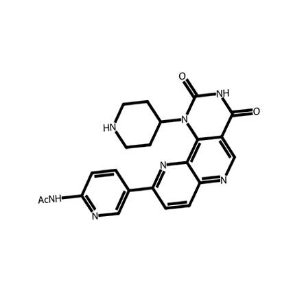 CC(=O)Nc1ccc(-c2ccc3ncc4c(=O)[nH]c(=O)n(C5CCNCC5)c4c3n2)cn1